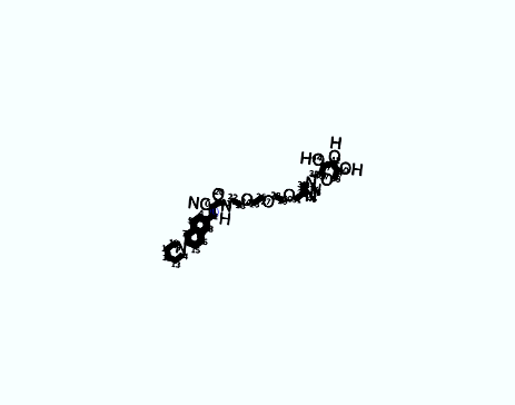 N#C/C(=C\c1ccc2cc(N3CCCCC3)ccc2c1)C(=O)NCCOCCOCCOCc1cn(C[C@H]2OC[C@H](O)[C@@H](O)[C@@H]2O)nn1